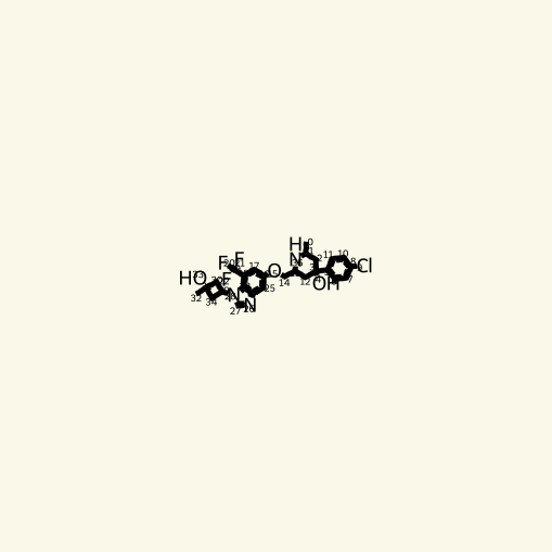 CC1CC(O)(c2ccc(Cl)cc2)CC(COc2cc(C(F)(F)F)c3c(c2)ncn3C2CC(C)(O)C2)N1